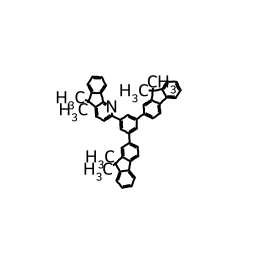 CC1(C)c2ccccc2-c2ccc(-c3cc(-c4ccc5c(c4)C(C)(C)c4ccccc4-5)cc(-c4ccc5c(n4)-c4ccccc4C5(C)C)c3)cc21